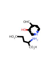 NC(CCC(=O)O)C(=O)O.O=Cc1ccncc1O